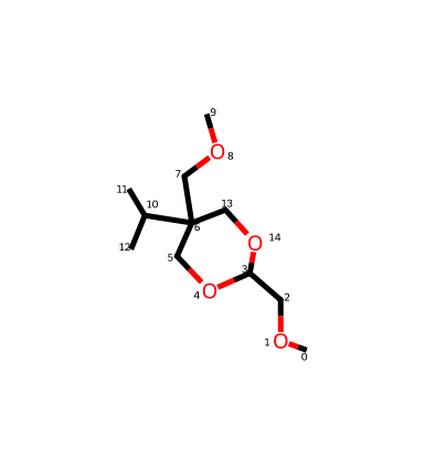 COCC1OCC(COC)(C(C)C)CO1